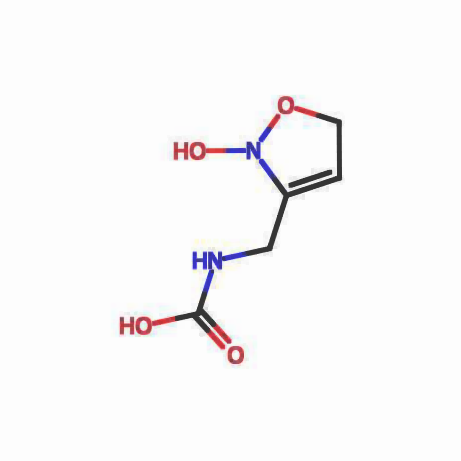 O=C(O)NCC1=CCON1O